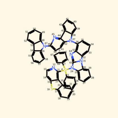 c1ccc(S(c2ccccc2)(c2nccc3sc4ccccc4c23)n2c3ccccc3n3c4cccc(-n5c6ccccc6c6nc(-n7c8ccccc8c8ccccc87)ccc65)c4nc23)cc1